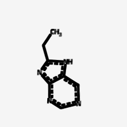 CCc1nc2ncncc2[nH]1